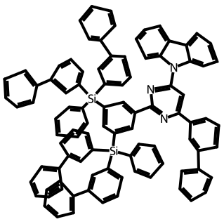 c1ccc(-c2cccc(-c3cc(-n4c5ccccc5c5ccccc54)nc(-c4cc([Si](c5ccccc5)(c5cccc(-c6ccccc6)c5)c5cccc(-c6ccccc6)c5)cc([Si](c5ccccc5)(c5cccc(-c6ccccc6)c5)c5cccc(-c6ccccc6)c5)c4)n3)c2)cc1